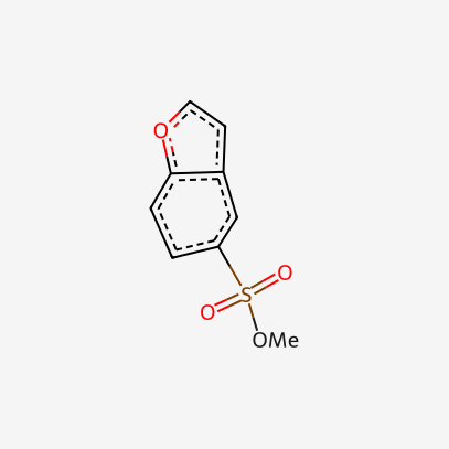 COS(=O)(=O)c1ccc2occc2c1